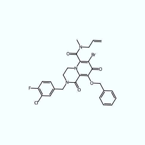 C=CCN(C)C(=O)c1c(Br)c(=O)c(OCc2ccccc2)c2n1CCN(Cc1ccc(F)c(Cl)c1)C2=O